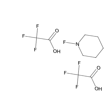 FN1CCCCC1.O=C(O)C(F)(F)F.O=C(O)C(F)(F)F